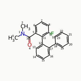 CN(C)C(=O)c1cccc(F)c1-c1ccccc1-c1ccccc1